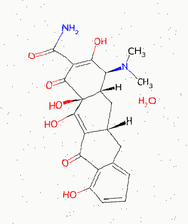 CN(C)[C@@H]1C(O)=C(C(N)=O)C(=O)[C@@]2(O)C(O)=C3C(=O)c4c(O)cccc4C[C@H]3C[C@@H]12.O